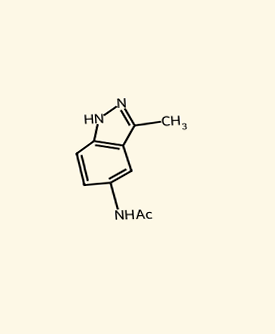 CC(=O)Nc1ccc2[nH]nc(C)c2c1